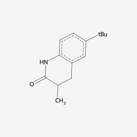 CC1Cc2cc(C(C)(C)C)ccc2NC1=O